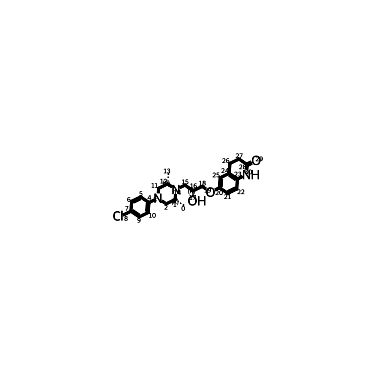 C[C@@H]1CN(c2ccc(Cl)cc2)C[C@H](C)N1C[C@@H](O)COc1ccc2c(c1)CCC(=O)N2